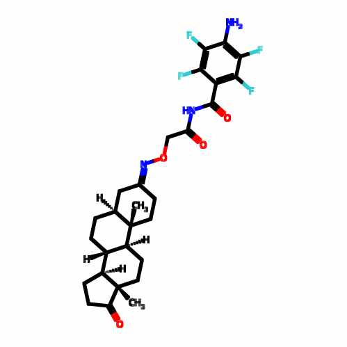 C[C@]12CC/C(=N\OCC(=O)NC(=O)c3c(F)c(F)c(N)c(F)c3F)C[C@@H]1CC[C@@H]1[C@@H]2CC[C@]2(C)C(=O)CC[C@@H]12